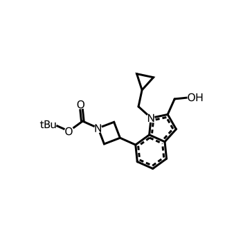 CC(C)(C)OC(=O)N1CC(c2cccc3cc(CO)n(CC4CC4)c23)C1